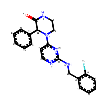 O=C1NCCN(c2ccnc(NCc3ccccc3F)n2)C1c1ccccc1